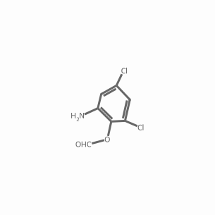 Nc1cc(Cl)cc(Cl)c1OC=O